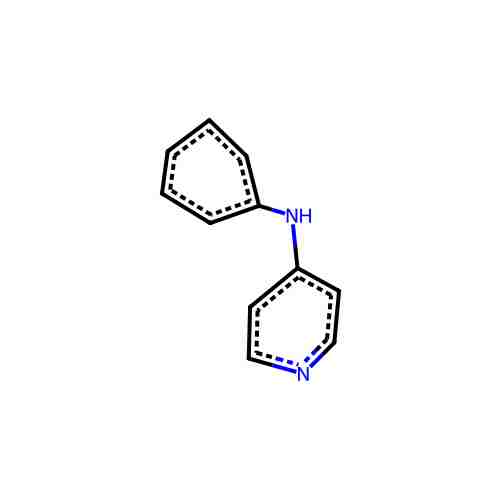 c1ccc(Nc2ccncc2)cc1